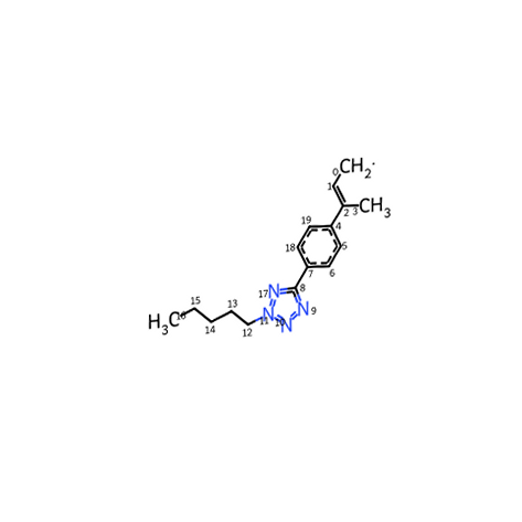 [CH2]C=C(C)c1ccc(-c2nnn(CCCCC)n2)cc1